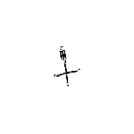 [C-]#[N+]C(F)(F)F